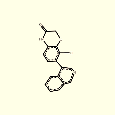 O=C1COc2c(ccc(-c3cncc4ccccc34)c2Cl)N1